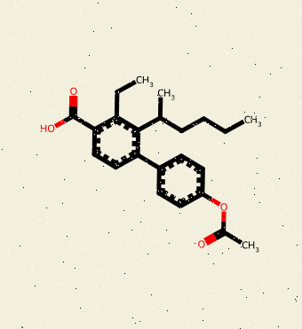 CCCCC(C)c1c(-c2ccc(OC(C)=O)cc2)ccc(C(=O)O)c1CC